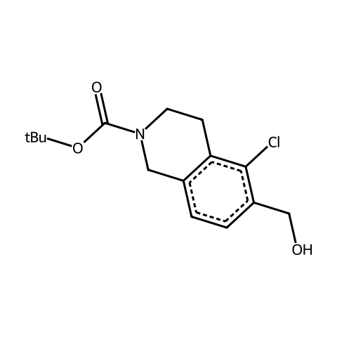 CC(C)(C)OC(=O)N1CCc2c(ccc(CO)c2Cl)C1